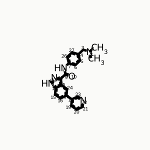 CN(C)Cc1ccc(NC(=O)c2n[nH]c3ccc(-c4cccnc4)cc23)cc1